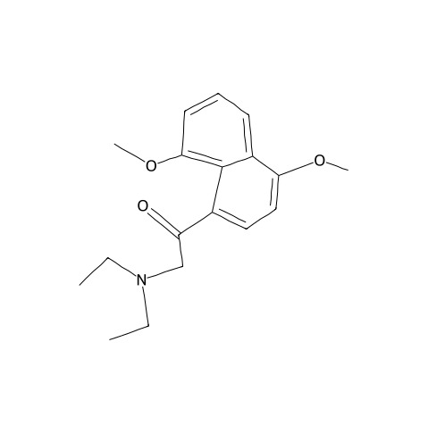 CCN(CC)CC(=O)c1ccc(OC)c2cccc(OC)c12